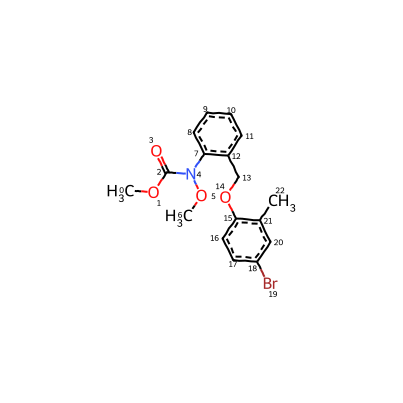 COC(=O)N(OC)c1ccccc1COc1ccc(Br)cc1C